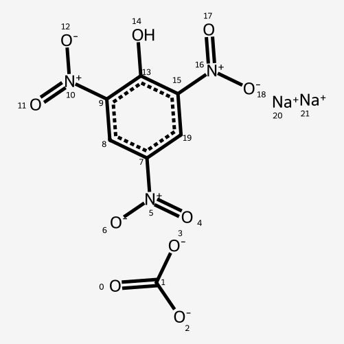 O=C([O-])[O-].O=[N+]([O-])c1cc([N+](=O)[O-])c(O)c([N+](=O)[O-])c1.[Na+].[Na+]